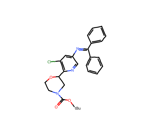 CC(C)(C)OC(=O)N1CCOC(c2ncc(N=C(c3ccccc3)c3ccccc3)cc2Cl)C1